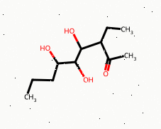 CCCC(O)C(O)C(O)C(CC)C(C)=O